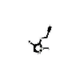 C#CCOc1c(F)[c]nn1C